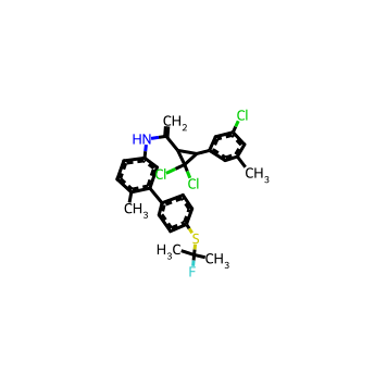 C=C(Nc1ccc(C)c(-c2ccc(SC(C)(C)F)cc2)c1)C1C(c2cc(C)cc(Cl)c2)C1(Cl)Cl